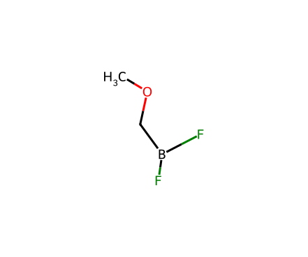 COCB(F)F